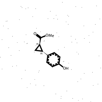 COC(=O)[C@@H]1C[C@H]1c1ccc(O)cc1